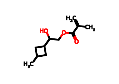 C=C(C)C(=O)OCC(O)C1CC(C)C1